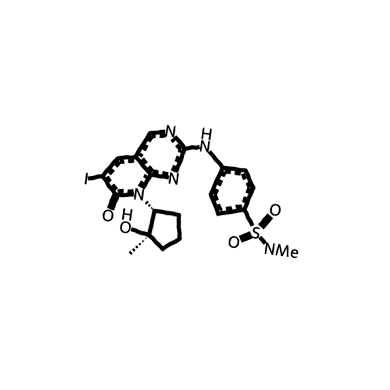 CNS(=O)(=O)c1ccc(Nc2ncc3cc(I)c(=O)n([C@@H]4CCC[C@@]4(C)O)c3n2)cc1